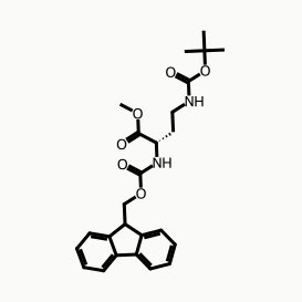 COC(=O)[C@H](CCNC(=O)OC(C)(C)C)NC(=O)OCC1c2ccccc2-c2ccccc21